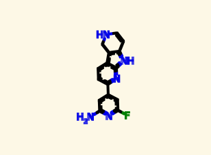 Nc1cc(-c2ccc3c4c([nH]c3n2)C=CNC4)cc(F)n1